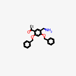 CCC(=O)c1cc(CN)c(OCc2ccccc2)cc1OCc1ccccc1